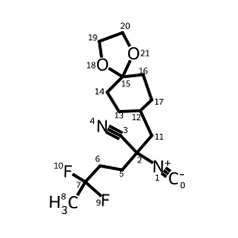 [C-]#[N+]C(C#N)(CCC(C)(F)F)CC1CCC2(CC1)OCCO2